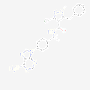 C[C@H](NC(=O)c1c(Cl)nn(C)c1Cc1ccccc1)c1ccc(-n2cnc3c(N)ncnc32)cc1